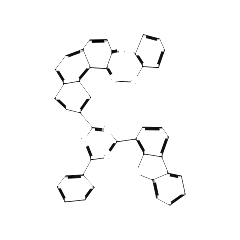 N=C1C=Cc2ccc3ccc(-c4nc(-c5ccccc5)nc(-c5cccc6c5oc5ccccc56)n4)cc3c2/C1=N/Nc1ccccc1